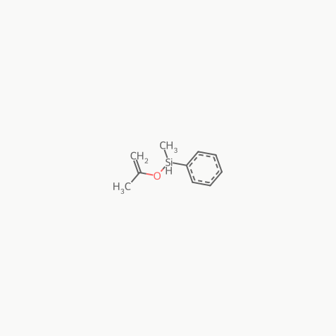 C=C(C)O[SiH](C)c1ccccc1